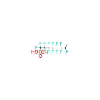 CC(F)C(F)(F)C(F)(F)C(F)(F)C(F)(F)C(F)(F)C(F)(F)P(=O)(O)O